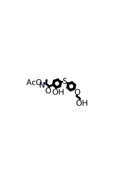 CC(=O)O/N=C(\C)C(=O)c1ccc(Sc2ccc(OCCO)cc2)cc1O